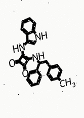 Cc1ccc(CC(Nc2c(Nc3c[nH]c4ccccc34)c(=O)c2=O)c2ccccc2)cc1